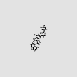 O=C1CN(c2cccc(N3CCOCC3)c2)CCN1CC(CN1CCc2ccccc2C1)N1CCCC1